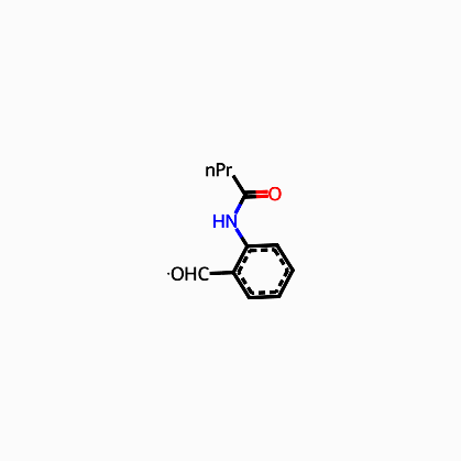 CCCC(=O)Nc1ccccc1[C]=O